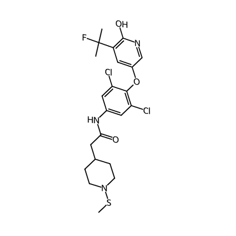 CSN1CCC(CC(=O)Nc2cc(Cl)c(Oc3cnc(O)c(C(C)(C)F)c3)c(Cl)c2)CC1